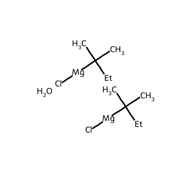 CC[C](C)(C)[Mg][Cl].CC[C](C)(C)[Mg][Cl].O